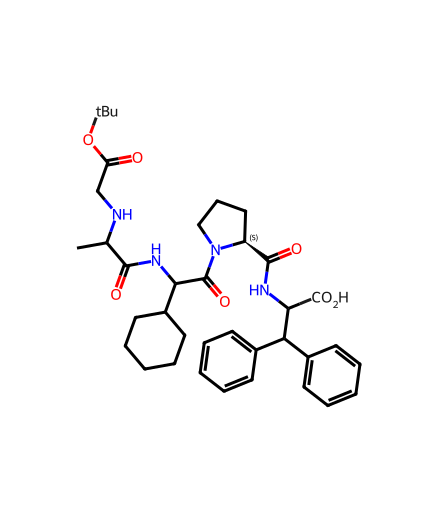 CC(NCC(=O)OC(C)(C)C)C(=O)NC(C(=O)N1CCC[C@H]1C(=O)NC(C(=O)O)C(c1ccccc1)c1ccccc1)C1CCCCC1